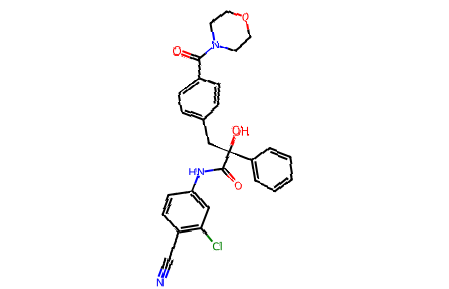 N#Cc1ccc(NC(=O)C(O)(Cc2ccc(C(=O)N3CCOCC3)cc2)c2ccccc2)cc1Cl